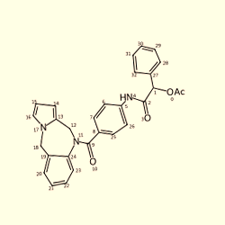 CC(=O)OC(C(=O)Nc1ccc(C(=O)N2Cc3cccn3Cc3ccccc32)cc1)c1ccccc1